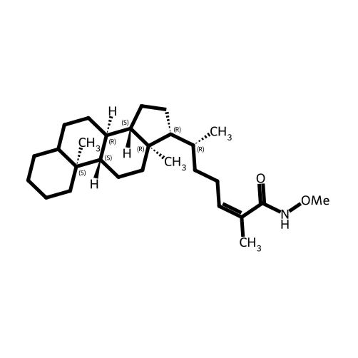 CONC(=O)C(C)=CCC[C@@H](C)[C@H]1CC[C@H]2[C@@H]3CCC4CCCC[C@]4(C)[C@H]3CC[C@]12C